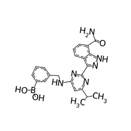 CC(C)c1cc(NCc2cccc(B(O)O)c2)nc(-c2n[nH]c3c(C(N)=O)cccc23)n1